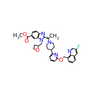 COC(=O)c1ccc2nc([C@H](C)N3CCC(c4cccc(OCc5cccc6cc(F)cnc56)n4)CC3)n(CC3CCO3)c2c1